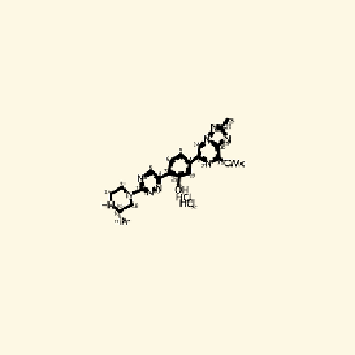 COc1nc(-c2ccc(-c3cnc(N4CCN[C@@H](C(C)C)C4)nn3)c(O)c2)cn2nc(C)nc12.Cl.Cl